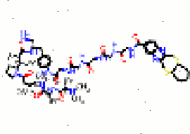 CC[C@H](C)[C@@H]([C@@H](CC(=O)N1CCC[C@H]1[C@H](OC)[C@@H](C)C(=O)N[C@H](CN)Cc1ccc(NC(=O)CNC(=O)CNC(=O)CNC(=O)CNC(=O)CNC(=O)c2ccc3nc4c(nc3c2)CSC2CCCCCC2SC4)cc1)OC)N(C)C(=O)[C@@H](NC(=O)[C@H](C(C)C)N(C)C)C(C)C